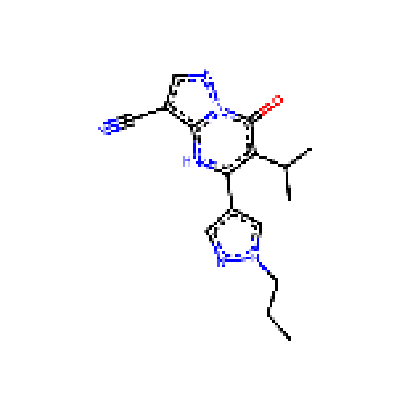 CCCn1cc(-c2[nH]c3c(C#N)cnn3c(=O)c2C(C)C)cn1